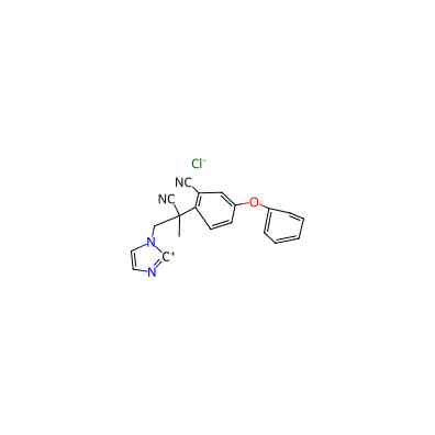 CC(C#N)(CN1[C+]=NC=C1)c1ccc(Oc2ccccc2)cc1C#N.[Cl-]